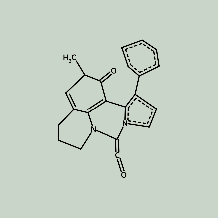 CC1C=C2CCCN3C(=C=O)n4ccc(-c5ccccc5)c4C(=C23)C1=O